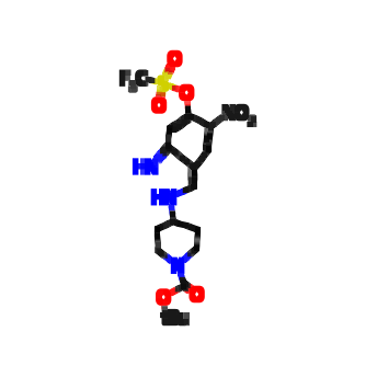 CC(C)(C)OC(=O)N1CCC(N/C=C2/C=C([N+](=O)[O-])C(OS(=O)(=O)C(F)(F)F)=CC2=N)CC1